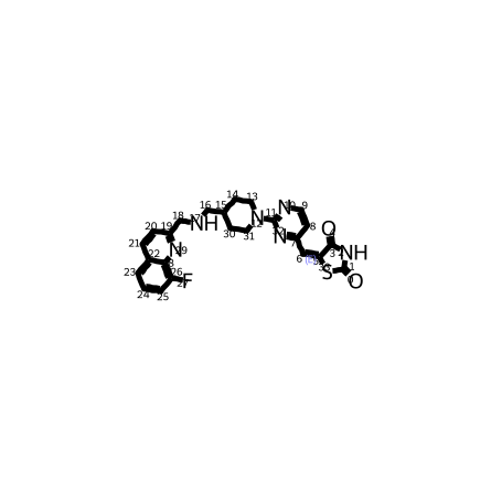 O=C1NC(=O)/C(=C\c2ccnc(N3CCC(CNCc4ccc5cccc(F)c5n4)CC3)n2)S1